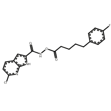 O=C(CCCCc1ccc(F)cc1)ONC(=O)c1cc2ccc(Cl)nc2[nH]1